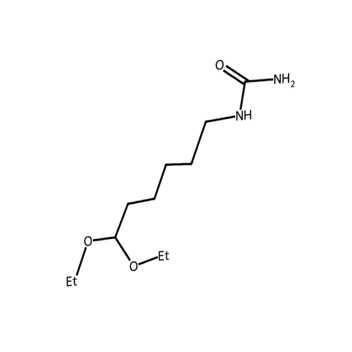 CCOC(CCCCCNC(N)=O)OCC